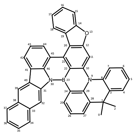 CC1(C)c2ccccc2N2c3cc4oc5ccccc5c4c4c3B(c3cccc1c32)n1c2cc3ccccc3cc2c2cccc-4c21